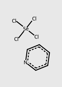 Cl[Se](Cl)(Cl)Cl.c1ccncc1